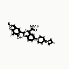 CNC(=O)c1nc(-c2cc3cn(C)nc3c(F)c2O)nc2ccc(N3CCC(N4CCC4)CC3)cc12